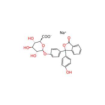 O=C1OC(c2ccc(O)cc2)(c2ccc(O[C@@H]3O[C@H](C(=O)[O-])[C@@H](O)[C@H](O)[C@H]3O)cc2)c2ccccc21.[Na+]